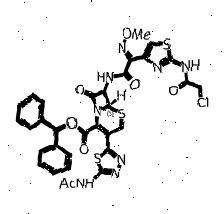 CON=C(C(=O)NC1C(=O)N2C(C(=O)OC(c3ccccc3)c3ccccc3)=C(c3nnc(NC(C)=O)s3)CS[C@@H]12)c1csc(NC(=O)CCl)n1